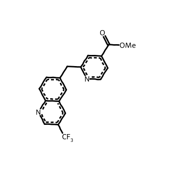 COC(=O)c1ccnc(Cc2ccc3ncc(C(F)(F)F)cc3c2)c1